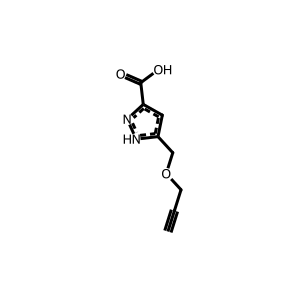 C#CCOCc1cc(C(=O)O)n[nH]1